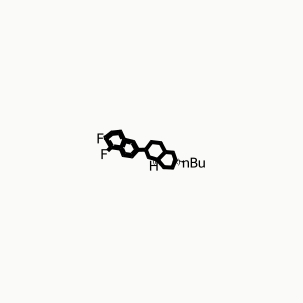 CCCC[C@@H]1CC[C@@H]2CC(c3ccc4c(F)c(F)ccc4c3)CCC2C1